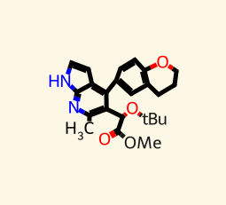 COC(=O)C(OC(C)(C)C)c1c(C)nc2[nH]ccc2c1-c1ccc2c(c1)CCCO2